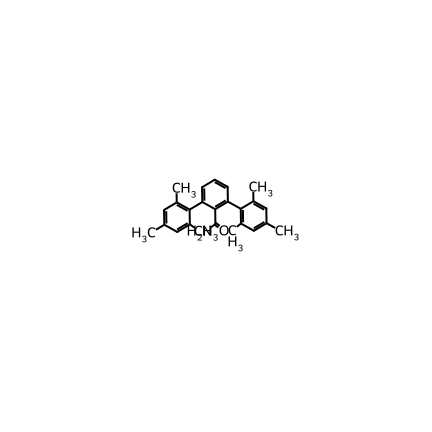 Cc1cc(C)c(-c2cccc(-c3c(C)cc(C)cc3C)c2C(N)=O)c(C)c1